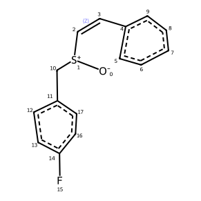 [O-][S+](/C=C\c1ccccc1)Cc1ccc(F)cc1